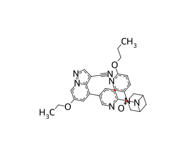 CCCOc1ccc(C(=O)N2C3CC2CN(c2ccc(-c4cc(OCC)cn5ncc(C#N)c45)cn2)C3)cn1